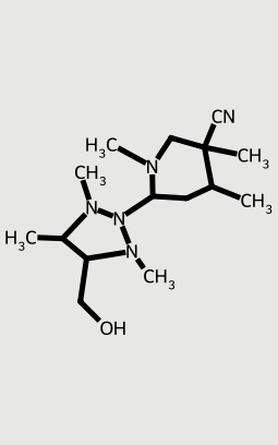 CC1C(CO)N(C)N(C2CC(C)C(C)(C#N)CN2C)N1C